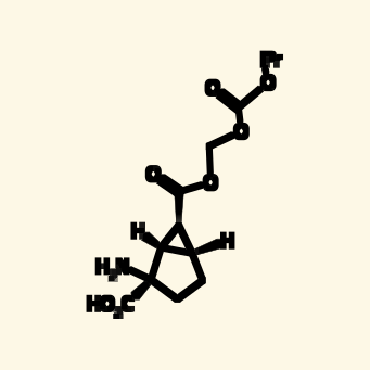 CC(C)OC(=O)OCOC(=O)[C@H]1[C@@H]2CC[C@@](N)(C(=O)O)[C@@H]21